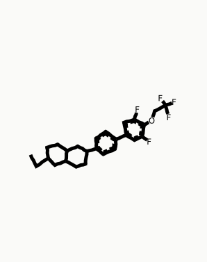 CCC1CCC2CC(c3ccc(-c4cc(F)c(OCC(F)(F)F)c(F)c4)cc3)CCC2C1